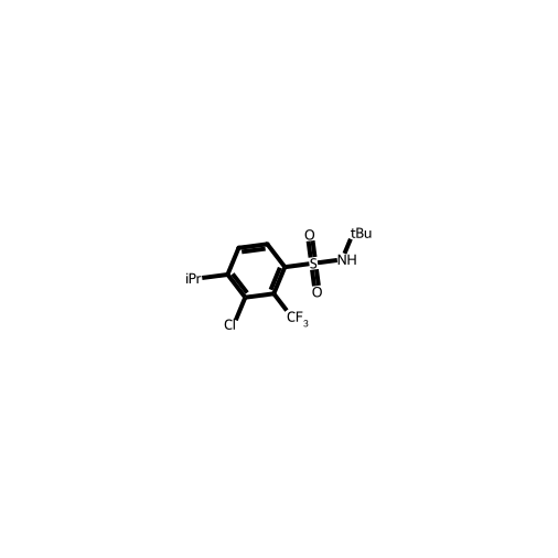 CC(C)c1ccc(S(=O)(=O)NC(C)(C)C)c(C(F)(F)F)c1Cl